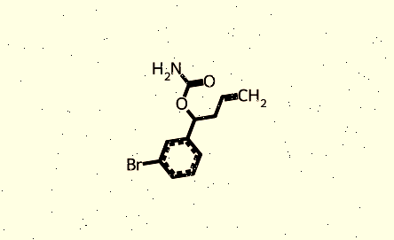 C=CCC(OC(N)=O)c1cccc(Br)c1